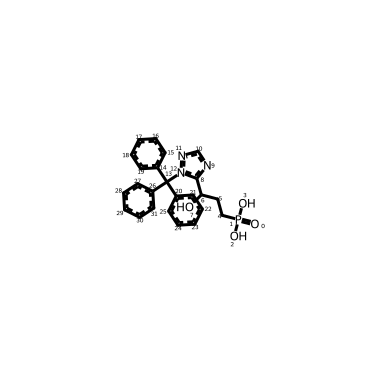 O=P(O)(O)CCC(O)c1ncnn1C(c1ccccc1)(c1ccccc1)c1ccccc1